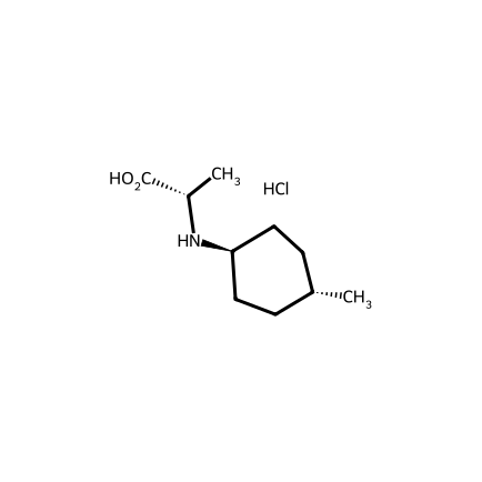 C[C@H](N[C@H]1CC[C@H](C)CC1)C(=O)O.Cl